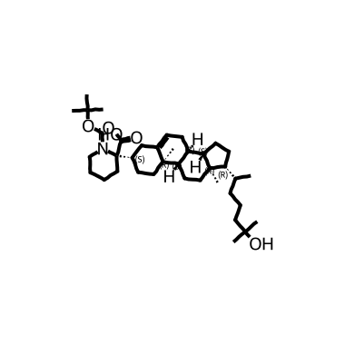 CC(CCCC(C)(C)O)[C@H]1CC[C@H]2[C@@H]3CC=C4C[C@@H](C5(C(=O)O)CCCCN5C(=O)OC(C)(C)C)CC[C@]4(C)[C@H]3CC[C@]12C